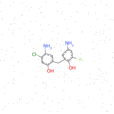 Nc1cc(F)c(O)c(Cc2cc(N)c(Cl)cc2O)c1